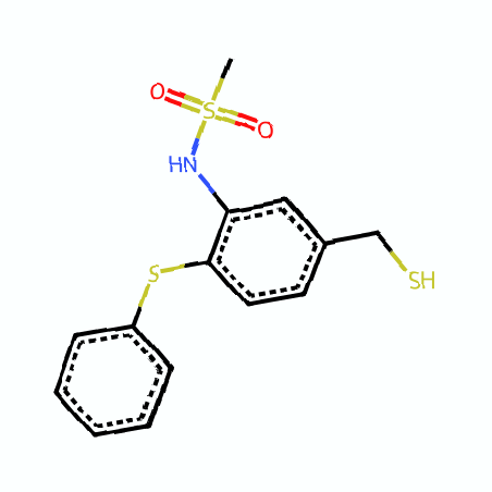 CS(=O)(=O)Nc1cc(CS)ccc1Sc1ccccc1